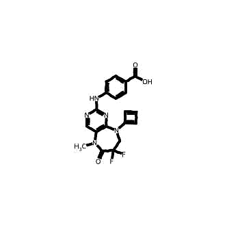 CN1C(=O)C(F)(F)CN(C2=CC=C2)c2nc(Nc3ccc(C(=O)O)cc3)ncc21